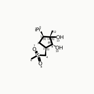 CC(C)[C@@H]1C[C@H](CS(C)(=O)=O)[C@@H](O)[C@@]1(C)O